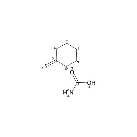 NC(=O)O.S=C1CCCCC1